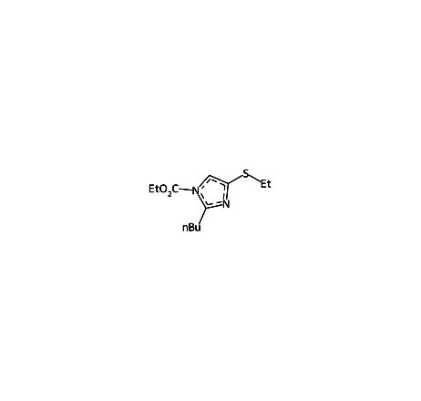 CCCCc1nc(SCC)cn1C(=O)OCC